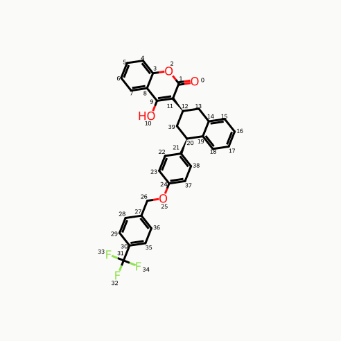 O=c1oc2ccccc2c(O)c1[C@H]1Cc2ccccc2[C@@H](c2ccc(OCc3ccc(C(F)(F)F)cc3)cc2)C1